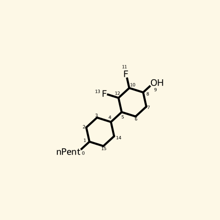 CCCCCC1CCC(C2CCC(O)C(F)C2F)CC1